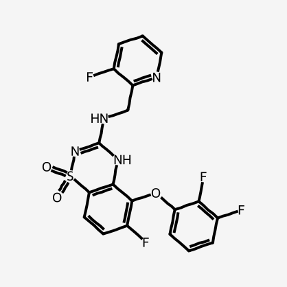 O=S1(=O)N=C(NCc2ncccc2F)Nc2c1ccc(F)c2Oc1cccc(F)c1F